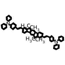 CC1(C)c2cc(/C=C/c3ccc(N(c4ccccc4)c4ccccc4)cc3)ccc2-c2cc3c(cc21)-c1ccc(/C=C/c2ccc(N(c4ccccc4)c4ccccc4)cc2)cc1C3(C)C